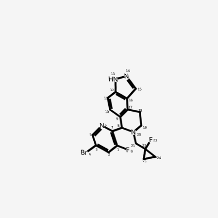 Fc1cc(Br)cnc1C1c2ccc3[nH]ncc3c2CCN1CC1(F)CC1